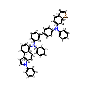 c1ccc(N(c2ccc(-c3cccc(N(c4ccccc4)c4cccc5c4ccc4c5ccn4-c4ccccc4)c3)cc2)c2ccc3ccsc3c2)cc1